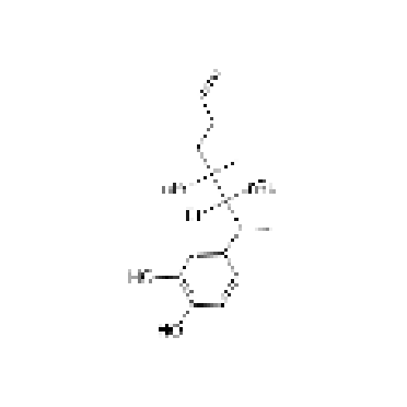 C=CCCC(C)(CCC)C(CC)(CCCC)C(C)c1ccc(O)c(O)c1